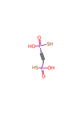 O=P(O)(S)C#CP(=O)(O)S